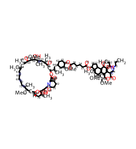 C=CCN(/C=C1/C(=O)O[C@H](COC)[C@@]2(C)C1=C(O)C(=O)C1=C2[C@H](OC(C)=O)C[C@@]2(C)C1CC[C@@H]2OC(=O)CCCCC(=O)O[C@@H]1CC[C@@H](CC(C)[C@@H]2CC(=O)[C@H](C)/C=C(\C)[C@@H](O)[C@@H](OC)C(=O)[C@H](C)C[C@H](C)/C=C/C=C/C=C(\C)[C@@H](OC)C[C@@H]3CC[C@@H](C)[C@@](O)(O3)C(=O)C(=O)N3CCCC[C@H]3C(=O)O2)C[C@H]1OC)CC=C